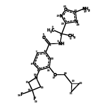 CC(C)(NC(=O)c1ccc(N2CC(F)(F)C2)c(OCC2CC2)c1)c1noc(N)n1